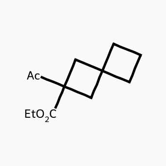 CCOC(=O)C1(C(C)=O)CC2(CCC2)C1